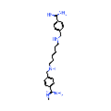 C/N=C(\N)c1ccc(CNCCCCCCNCc2ccc(C(=N)N)cc2)cc1